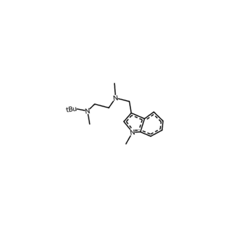 CN(CCN(C)C(C)(C)C)Cc1cn(C)c2ccccc12